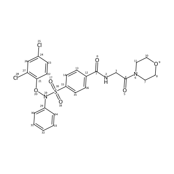 O=C(NCC(=O)N1CCOCC1)c1ccc(S(=O)(=O)N(Oc2ccc(Cl)cc2Cl)c2ccccc2)cc1